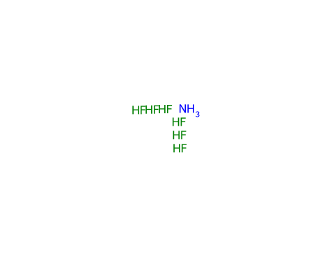 F.F.F.F.F.F.N